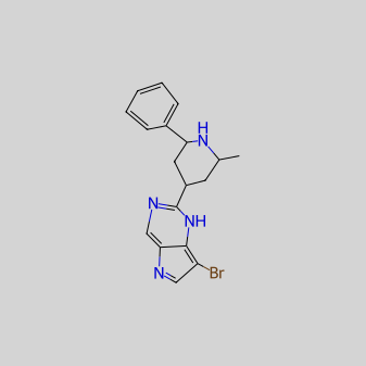 CC1CC(c2ncc3ncc(Br)c-3[nH]2)CC(c2ccccc2)N1